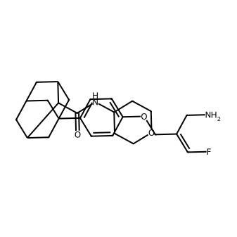 NC/C(=C\F)COc1ccc(C23CC4CC(C2)C(C(=O)NC2CCOCC2)C(C4)C3)cc1